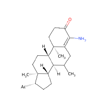 CC(=O)[C@H]1CC[C@H]2[C@@H]3C(C)CC4=C(N)C(=O)CC[C@]4(C)[C@H]3CC[C@]12C